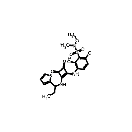 CCC(Nc1c(Nc2ccc(Cl)c(S(=O)(=O)N(C)OC)c2O)c(=O)c1=O)c1cccs1